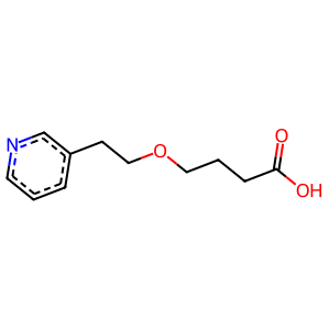 O=C(O)CCCOCCc1cccnc1